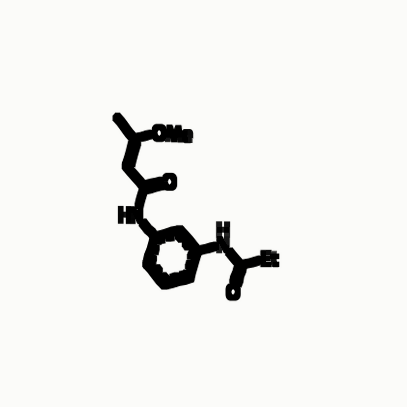 CCC(=O)Nc1cccc(NC(=O)/C=C(/C)OC)c1